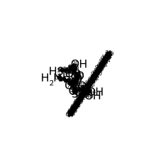 NCCCCCC(=O)N1CC(OP(=O)(O)OCC2CC(O)CN2C(=O)CCCS)CC1COP(=O)(S)OCC1C(O)C2C3C(O)C(O)C4C1C1C4C4C1C1C4C4C1C1C4C4C1C1C4C4C1C1C4C4C1C1C4C4C1C1C5C6C7C8C9C%10C%11C%12C%13C%14C%15C%16C3C2C%16C%15C%14C%13C%12C%11C%10C9C8C7C6C5C41